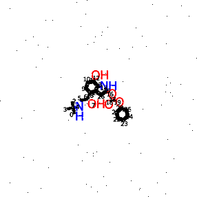 CC(C)(C)NCC(O)c1ccc(O)c2[nH]c(OC(=O)Oc3ccccc3)cc12